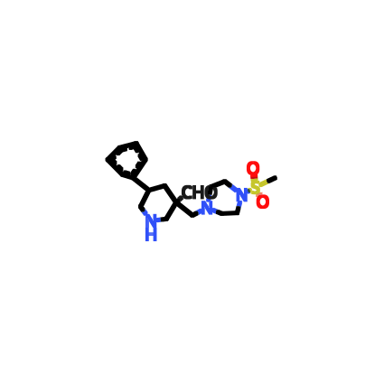 CS(=O)(=O)N1CCN(CC2(C=O)CNCC(c3ccccc3)C2)CC1